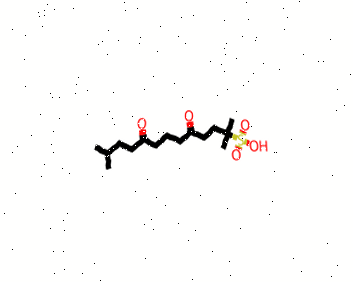 CC(C)CCC(=O)CCCC(=O)CCC(C)(C)S(=O)(=O)O